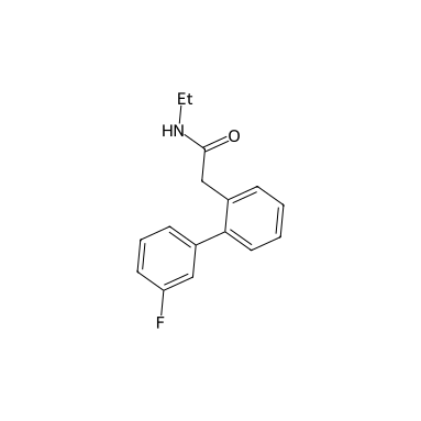 CCNC(=O)Cc1ccccc1-c1cccc(F)c1